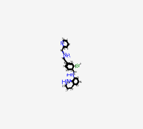 Br.c1ccc(CNCc2ccc(CNc3cccc4c3NCCC4)cc2)nc1